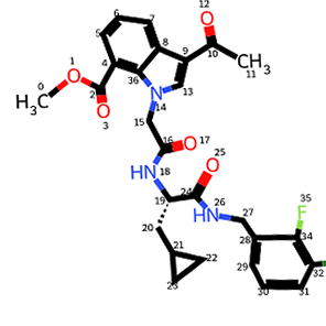 COC(=O)c1cccc2c(C(C)=O)cn(CC(=O)N[C@@H](CC3CC3)C(=O)NCc3cccc(Cl)c3F)c12